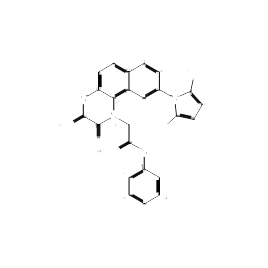 Cc1ccc(C)n1-c1ccc2ccc3[nH]c(=O)c(=O)n(CC(=O)Nc4ccccc4)c3c2c1